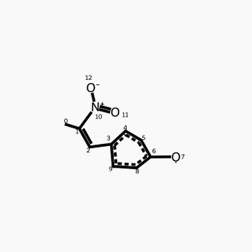 CC(=Cc1ccc([O])cc1)[N+](=O)[O-]